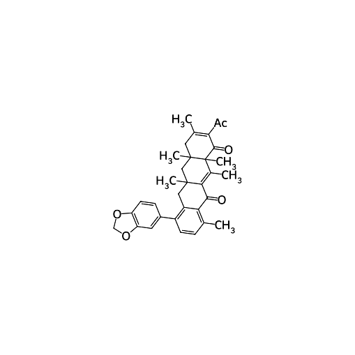 CC(=O)C1=C(C)CC2(C)CC3(C)Cc4c(-c5ccc6c(c5)OCO6)ccc(C)c4C(=O)C3=C(C)C2(C)C1=O